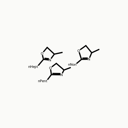 CCCCCC1=NC(C)CO1.CCCCCCCC1=NC(C)CO1.CCCCCCCCCC1=NC(C)CO1